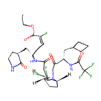 CCOC(=O)/C(F)=C\[C@@H](C[C@@H]1CCNC1=O)NC(=O)[C@@H]1[C@H]2CC[C@H](CC2(F)F)N1C(=O)[C@H](CC1CCC1)NC(=O)C(F)(F)F